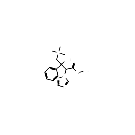 CCCCNC(=O)C(n1cncn1)C(O)(C[Si](C)(C)C)c1ccccc1